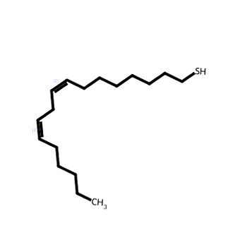 CCCCC/C=C\C/C=C\CCCCCCCS